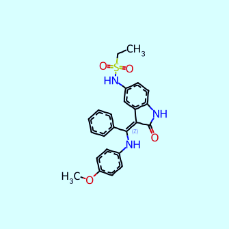 CCS(=O)(=O)Nc1ccc2c(c1)/C(=C(/Nc1ccc(OC)cc1)c1ccccc1)C(=O)N2